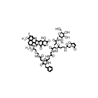 Cc1c(F)cc2nc3c(c4c2c1CC[C@@]4([SiH3])NC(=O)COCNC(=O)CNC(=O)[C@H](Cc1ccccc1)NC(=O)CNC(=O)CNC(=O)[C@H](CCC(=O)NC[C@@H]1O[C@H](CO)[C@@H](O)[C@H](O)[C@H]1O)NC(=O)CCNC(=O)CN1C(=O)C=CC1=O)Cn1c-3cc2c(c1=O)COC(=O)[C@H]2O